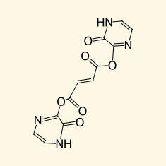 O=C(/C=C/C(=O)Oc1ncc[nH]c1=O)Oc1ncc[nH]c1=O